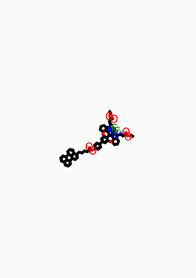 CCOC(=O)/C=C/C1=[N+]2C(=C(c3c(C)cc(-c4ccc(OC(=O)CCCCc5ccc6c7cccc8cccc(c9cccc5c96)c87)cc4)cc3C)c3c4c(c(/C=C/C(=O)OCC)n3[B-]2(F)F)CCCC4)C2=C1CCCC2